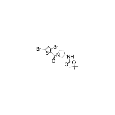 CC(C)(C)OC(=O)N[C@H]1CCN(C(=O)c2sc(Br)cc2Br)C1